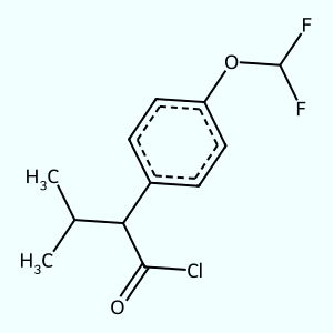 CC(C)C(C(=O)Cl)c1ccc(OC(F)F)cc1